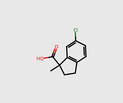 CC1(C(=O)O)CCc2ccc(Cl)cc21